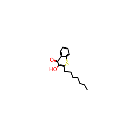 CCCCCCCc1sc2ccccc2c(=O)c1O